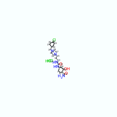 Cl.Cl.NC(=O)c1ccc(NC(=O)NCCCN2CCN(Cc3ccc(Cl)cc3)CC2)cc1O